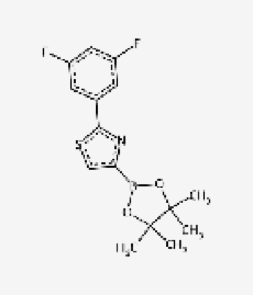 CC1(C)OB(c2csc(-c3cc(F)cc(F)c3)n2)OC1(C)C